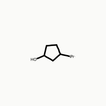 C[C](C)C1CCC(O)C1